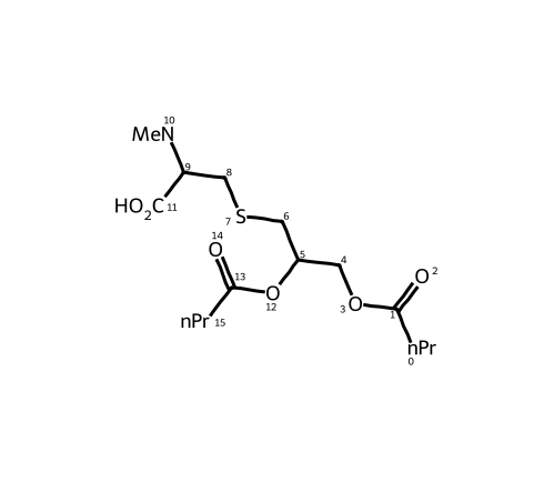 CCCC(=O)OCC(CSCC(NC)C(=O)O)OC(=O)CCC